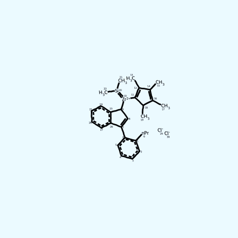 CCCc1ccccc1C1=C[CH]([Zr+2]([C]2=C(C)C(C)=C(C)C2C)=[Si](C)C)c2ccccc21.[Cl-].[Cl-]